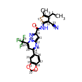 CCc1c(C)sc(NC(=O)c2cc3nc(-c4ccc5c(c4)OCO5)cc(C(F)(F)F)n3n2)c1C#N